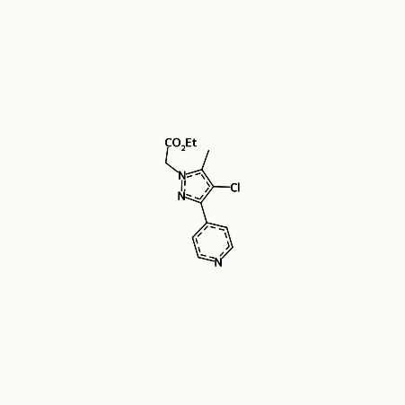 CCOC(=O)Cn1nc(-c2ccncc2)c(Cl)c1C